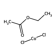 CCOC(C)=O.[Cl][Co][Cl]